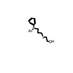 CC(=O)N(CCCSCCO)c1ccccc1